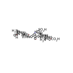 Cc1cc(C)c(Nc2ccc3c(c2)CC2=C/C(=N/c4c(C)c(NC(=O)NCCNc5nc(N)nc(Nc6cccc(C(=O)O)c6)n5)c(C)c(S(=O)(=O)O)c4C)C=CC2=C3c2ccccc2S(=O)(=O)O)c(C)c1NC(=O)NCCNc1nc(N)nc(Nc2ccccc2)n1